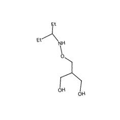 CCC(CC)NOCC(CO)CO